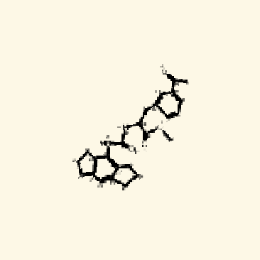 COC(=O)C(Cc1cccc(C(C)=O)c1)NC(=O)Nc1c2c(cc3c1CCC3)CCC2